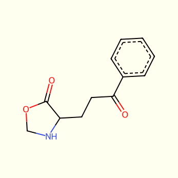 O=C(CCC1NCOC1=O)c1ccccc1